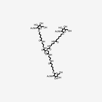 CCC(C(=O)NCCCNC(=O)CCCCCOC1OC(CO)C(O)[C@H](O)C1NC(C)=O)N(CC(=O)NCCCNC(=O)CCCCCOC1OC(CO)C(O)C(O)C1NC(C)=O)CC(=O)NCCCNC(=O)CCCCCOC1OC(CO)C(O)C(O)C1NC(C)=O